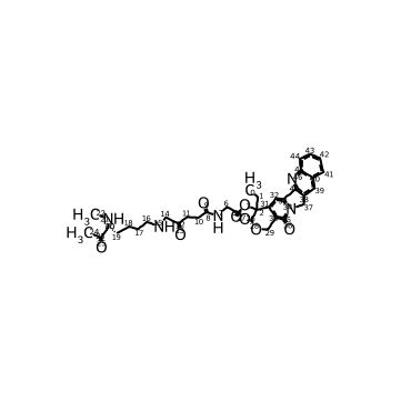 CCC1(OC(=O)CNC(=O)CCC(=O)CNCCCC[C@@H](NC)C(C)=O)C(=O)OCc2c1cc1n(c2=O)Cc2cc3ccccc3nc2-1